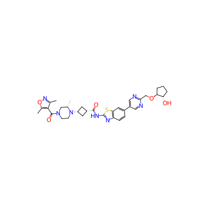 Cc1noc(C)c1C(=O)N1CCN([C@H]2C[C@@H](C(=O)Nc3nc4ccc(-c5cnc(CO[C@H]6CCC[C@@H]6O)nc5)cc4s3)C2)[C@@H](C)C1